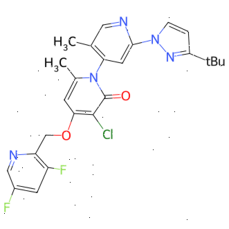 Cc1cnc(-n2ccc(C(C)(C)C)n2)cc1-n1c(C)cc(OCc2ncc(F)cc2F)c(Cl)c1=O